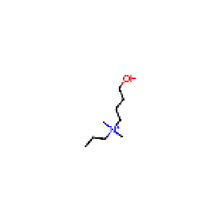 CCC[N+](C)(C)CCCCO